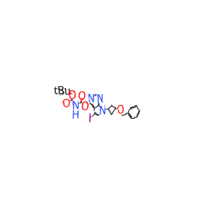 CC(C)(C)OC(=O)NC(=O)Oc1ncnc2c1c(I)cn2C1CC(OCc2ccccc2)C1